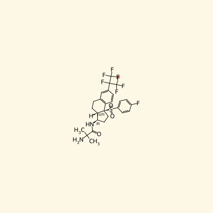 CC(C)(N)C(=O)N[C@@H]1CC[C@@]2(S(=O)(=O)c3ccc(F)cc3)c3ccc(C(F)(C(F)(F)F)C(F)(F)F)cc3CC[C@@H]12